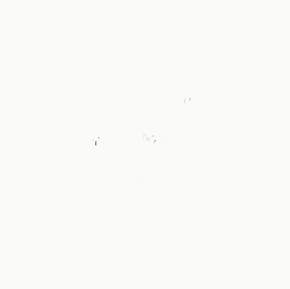 C=CC(CCCCCCCCCC)C(=O)O.C=COC(=O)CCCCCCCCCCC